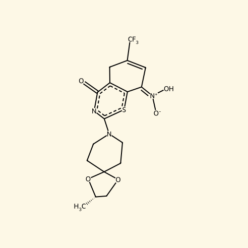 C[C@H]1COC2(CCN(c3nc(=O)c4c(s3)/C(=[N+](\[O-])O)C=C(C(F)(F)F)C4)CC2)O1